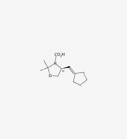 CC1(C)OC[C@H](C=C2CCCC2)N1C(=O)O